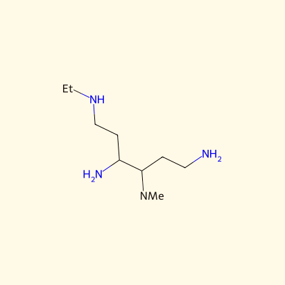 CCNCCC(N)C(CCN)NC